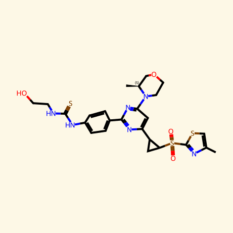 Cc1csc(S(=O)(=O)C2CC2c2cc(N3CCOC[C@@H]3C)nc(-c3ccc(NC(=S)NCCO)cc3)n2)n1